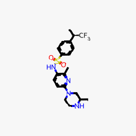 Cc1nc(N2CCNC(C)C2)ccc1NS(=O)(=O)c1ccc([C@@H](C)C(F)(F)F)cc1